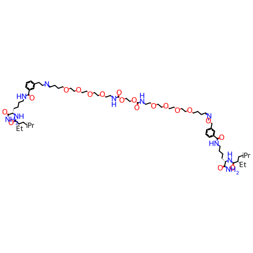 CC[C@@H](CC(C)C)C(=O)N[C@@H](CCCCNC(=O)c1cccc(CC/N=C/CCCOCCOCCOCCOCCNC(=O)OCCOC(=O)NCCOCCOCCOCCOCCC/C=N\OCc2cccc(C(=O)NCCCC[C@H](NC(=O)[C@@H](CC)CC(C)C)C(N)=O)c2)c1)C(N)=O